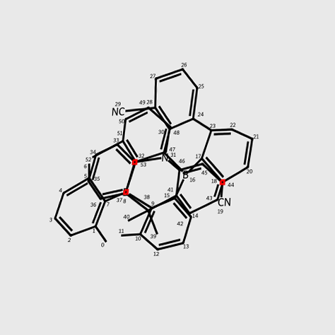 Cc1cccc(C)c1B1c2c(C)cccc2B(c2c(C#N)cccc2-c2cccc(C#N)c2N2c3ccccc3C(C)(C)c3ccccc32)c2cccc(C)c21